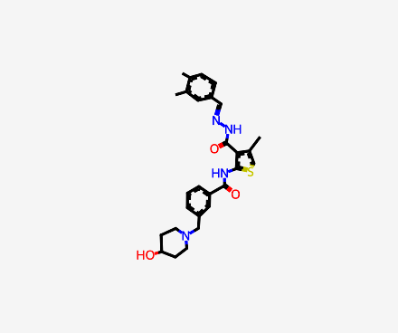 Cc1ccc(C=NNC(=O)c2c(C)csc2NC(=O)c2cccc(CN3CCC(O)CC3)c2)cc1C